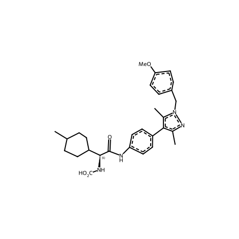 COc1ccc(Cn2nc(C)c(-c3ccc(NC(=O)[C@@H](NC(=O)O)C4CCC(C)CC4)cc3)c2C)cc1